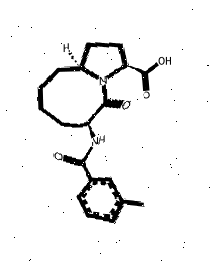 Cc1cccc(C(=O)N[C@H]2CCCC[C@H]3CC[C@@H](C(=O)O)N3C2=O)c1